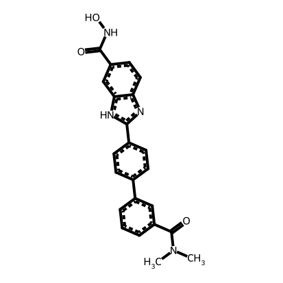 CN(C)C(=O)c1cccc(-c2ccc(-c3nc4ccc(C(=O)NO)cc4[nH]3)cc2)c1